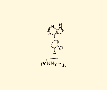 CC(C)CC(C)(COc1ccc(-c2ncnc3[nH]ccc23)cc1Cl)NC(=O)O